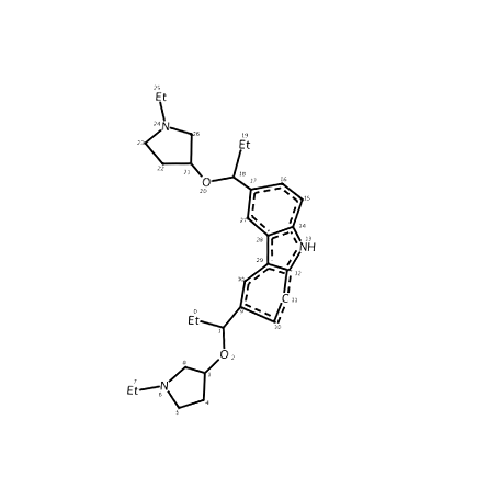 CCC(OC1CCN(CC)C1)c1ccc2[nH]c3ccc(C(CC)OC4CCN(CC)C4)cc3c2c1